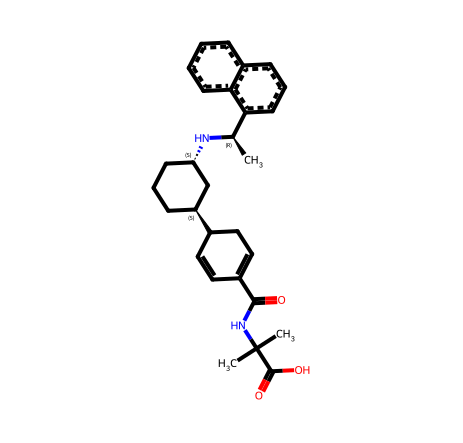 C[C@@H](N[C@H]1CCC[C@H](C2C=CC(C(=O)NC(C)(C)C(=O)O)=CC2)C1)c1cccc2ccccc12